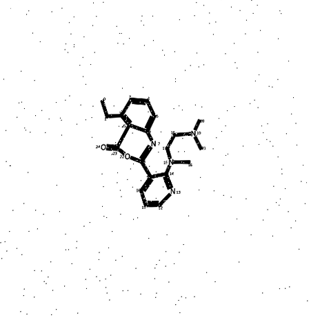 CCc1cccc2nc(-c3cccnc3N(C)CCN(C)C)oc(=O)c12